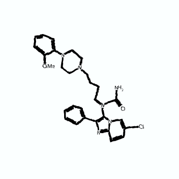 COc1ccccc1N1CCN(CCCCN(C(N)=O)c2c(-c3ccccc3)nc3ccc(Cl)cn23)CC1